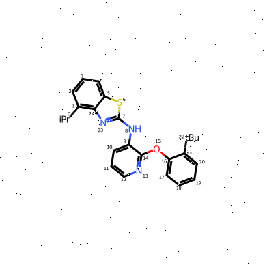 CC(C)c1cccc2sc(Nc3cccnc3Oc3ccccc3C(C)(C)C)nc12